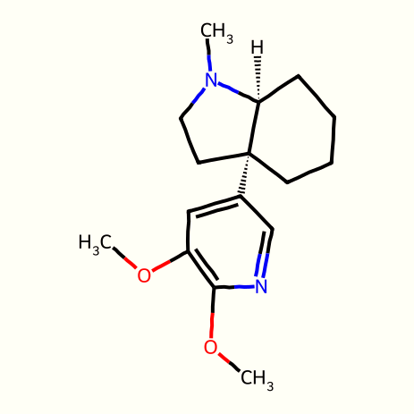 COc1cc([C@@]23CCCC[C@@H]2N(C)CC3)cnc1OC